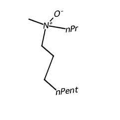 CCCCCCCC[N+](C)([O-])CCC